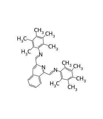 Cc1c(C)c(C)c(/N=C/c2cc3ccccc3c(/C=N/c3c(C)c(C)c(C)c(C)c3C)n2)c(C)c1C